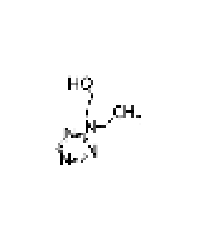 CCN(CCO)c1ncncn1